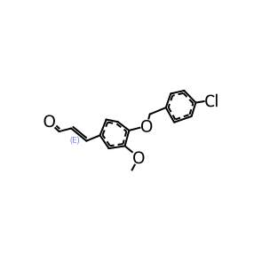 COc1cc(/C=C/C=O)ccc1OCc1ccc(Cl)cc1